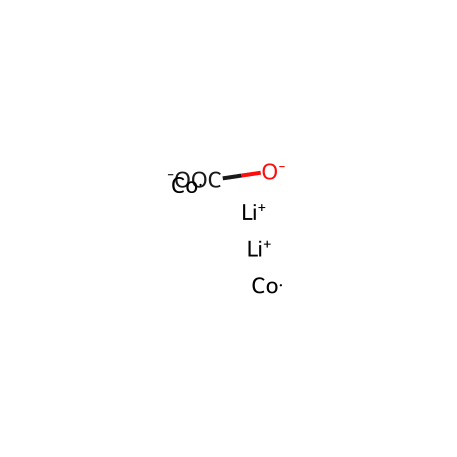 O=C([O-])[O-].[Co].[Co].[Li+].[Li+]